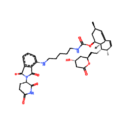 C[C@H]1C=C2C=C[C@H](C)[C@H](CC[C@@H]3C[C@@H](O)CC(=O)O3)[C@H]2[C@@H](OC(=O)NCCCCCNc2cccc3c2C(=O)N(C2CCC(=O)NC2=O)C3=O)C1